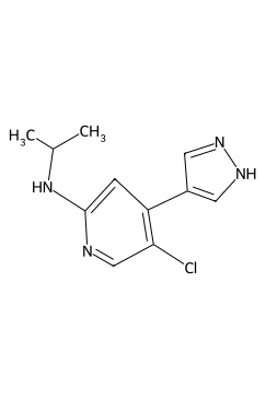 CC(C)Nc1cc(-c2cn[nH]c2)c(Cl)cn1